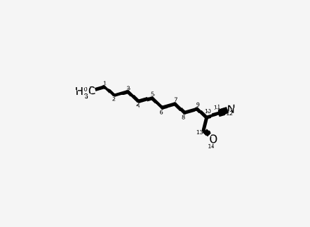 CCCCCCCCCCC(C#N)C=O